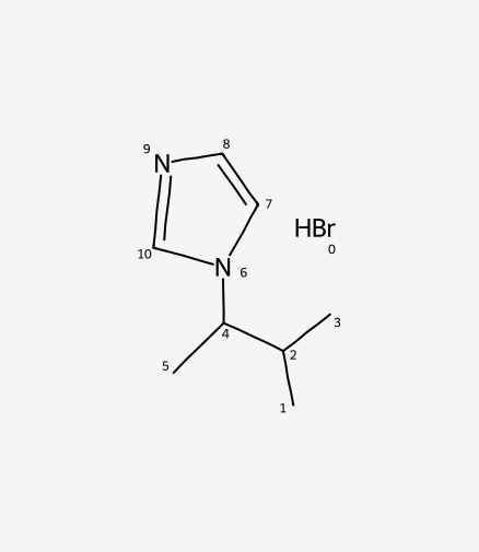 Br.CC(C)C(C)n1ccnc1